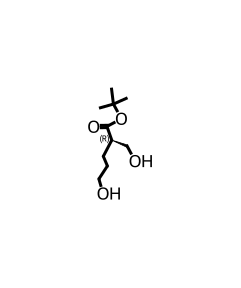 CC(C)(C)OC(=O)[C@@H](CO)CCCO